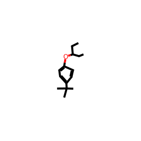 CCC(CC)Oc1ccc(C(C)(C)C)cc1